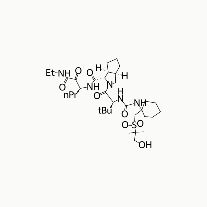 CCC[C@H](NC(=O)[C@@H]1[C@H]2CCC[C@H]2CN1C(=O)[C@@H](NC(=O)NC1(CS(=O)(=O)C(C)(C)CO)CCCCC1)C(C)(C)C)C(=O)C(=O)NCC